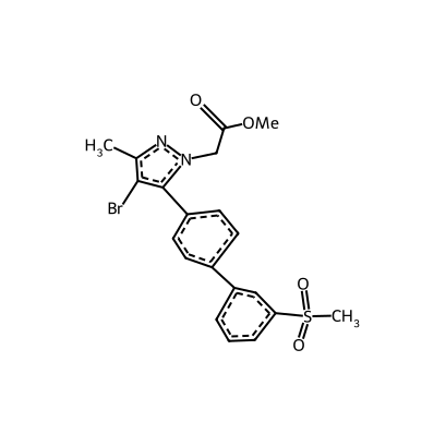 COC(=O)Cn1nc(C)c(Br)c1-c1ccc(-c2cccc(S(C)(=O)=O)c2)cc1